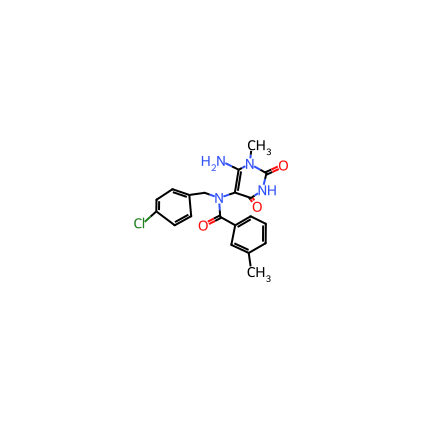 Cc1cccc(C(=O)N(Cc2ccc(Cl)cc2)c2c(N)n(C)c(=O)[nH]c2=O)c1